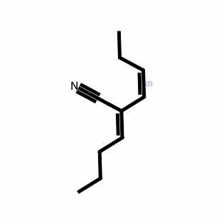 CC/C=C\C(C#N)=CCCC